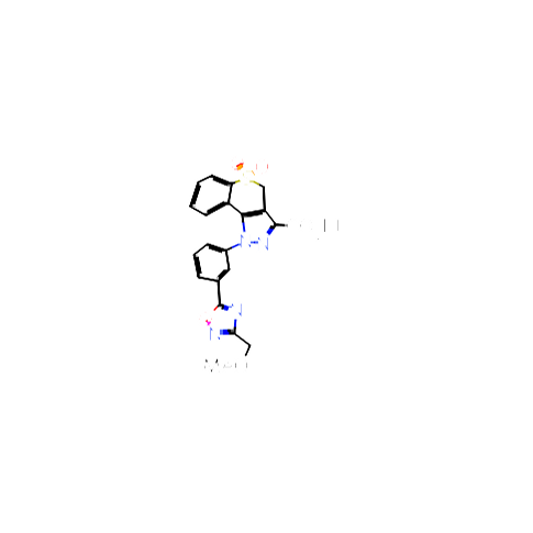 CCOC(=O)c1nn(-c2cccc(-c3nc(COC)no3)c2)c2c1CS(=O)(=O)c1ccccc1-2